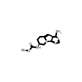 CC(C)(C)OC(=O)N[C@H]1CCc2cc3c(N)ncnc3n2C1